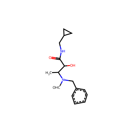 CC(C(O)C(=O)NCC1CC1)N(C=O)Cc1ccccc1